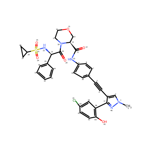 Cn1cc(C#Cc2ccc(NC(=O)[C@@H]3COCCN3C(=O)[C@H](NS(=O)(=O)C3CC3)c3ccccc3)cc2)c(-c2cc(Cl)ccc2O)n1